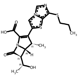 CCCSc1ncn2cc(C3=C(C(=O)O)N4C(=O)[C@H]([C@@H](C)O)[C@H]4[C@H]3C)sc12